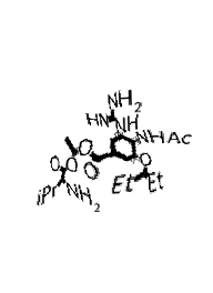 CCC(CC)O[C@@H]1C=C(C(=O)OC(C)OC(=O)C(N)C(C)C)C[C@H](NC(=N)N)[C@H]1NC(C)=O